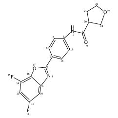 O=C(Nc1ccc(-c2nc3cc(F)cc(F)c3o2)cc1)C1CCOC1